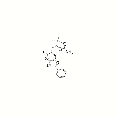 CC(C)(C)C(Cc1cc(OCc2ccccc2)c(Cl)nc1I)OC(N)=O